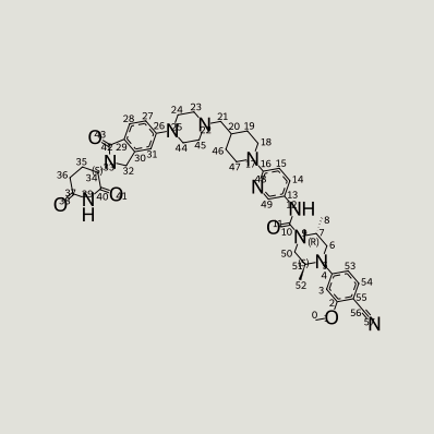 COc1cc(N2C[C@@H](C)N(C(=O)Nc3ccc(N4CCC(CN5CCN(c6ccc7c(c6)CN([C@H]6CCC(=O)NC6=O)C7=O)CC5)CC4)nc3)C[C@@H]2C)ccc1C#N